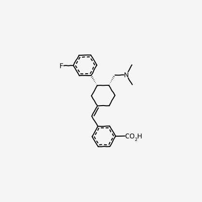 CN(C)C[C@@H]1CC/C(=C\c2cccc(C(=O)O)c2)C[C@@H]1c1cccc(F)c1